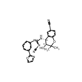 CC1(C)Oc2ccc(C#N)cc2[C@@H](NC(=NC#N)Nc2cccc(-c3ncco3)c2)[C@@H]1O